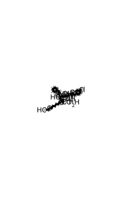 C#CCOCCCCCCO[C@]1(C(=O)O)C[C@H](O)[C@@H](NC(=O)Cc2ccccc2)[C@H]([C@H](O)[C@H](O)CNC(=O)Cc2ccc(Cl)cc2)O1